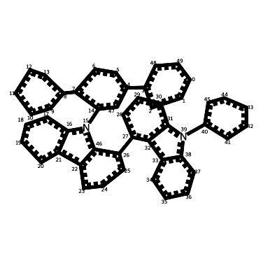 c1ccc(-c2ccc(-c3ccccc3)c(-n3c4ccccc4c4cccc(-c5cccc6c5c5ccccc5n6-c5ccccc5)c43)c2)cc1